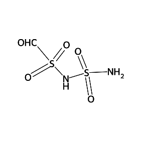 NS(=O)(=O)NS(=O)(=O)C=O